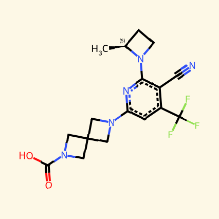 C[C@H]1CCN1c1nc(N2CC3(CN(C(=O)O)C3)C2)cc(C(F)(F)F)c1C#N